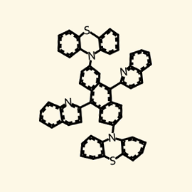 c1ccc2c(c1)Sc1ccccc1N2c1ccc2c(-c3ccc4ccccc4n3)c3cc(N4c5ccccc5Sc5ccccc54)ccc3c(-c3ccc4ccccc4n3)c2c1